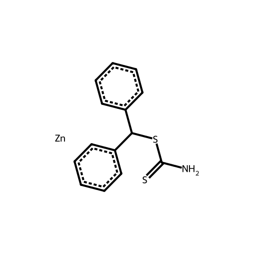 NC(=S)SC(c1ccccc1)c1ccccc1.[Zn]